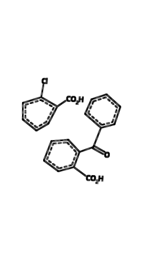 O=C(O)c1ccccc1C(=O)c1ccccc1.O=C(O)c1ccccc1Cl